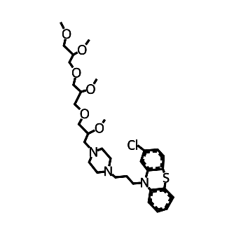 COCC(COCC(COCC(CN1CCN(CCCN2c3ccccc3Sc3ccc(Cl)cc32)CC1)OC)OC)OC